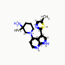 CCCC1(N)CCCN(c2ccnc3[nH]cc(-c4ncc(C)s4)c23)C1